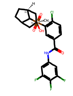 C[C@]1(O)CC2CC[C@@H](C1)C2S(=O)(=O)c1cc(C(=O)Nc2cc(F)c(F)c(F)c2)ccc1Cl